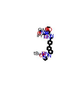 COC(=O)N[C@H](C(=O)N1CC2(C[C@H]1c1ncc(-c3ccc(-c4ccc5c(ccc6nc([C@@H]7CCCN7C(=O)OC(C)(C)C)[nH]c65)c4)cc3)[nH]1)OCCO2)C(C)C